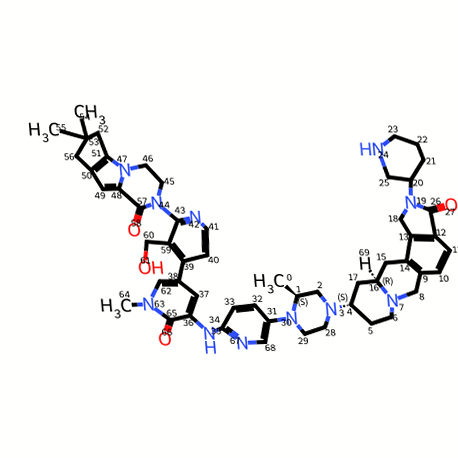 C[C@H]1CN([C@H]2CCN3Cc4ccc5c(c4C[C@@H]3C2)CN(C2CCCNC2)C5=O)CCN1c1ccc(Nc2cc(-c3ccnc(N4CCn5c(cc6c5CC(C)(C)C6)C4=O)c3CO)cn(C)c2=O)nc1